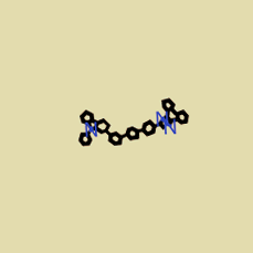 C1=c2c(n(-c3ccccc3)c3ccccc23)=CC(c2cccc(-c3ccc(-c4ccc(-c5cnc6c7ccccc7c7ccccc7c6n5)cc4)cc3)c2)C1